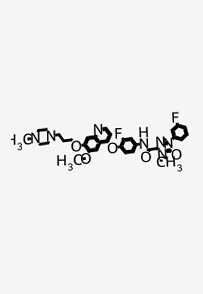 COc1cc2c(Oc3ccc(NC(=O)c4nn(-c5cccc(F)c5)c(=O)n4C)cc3F)ccnc2cc1OCCCN1CCN(C)CC1